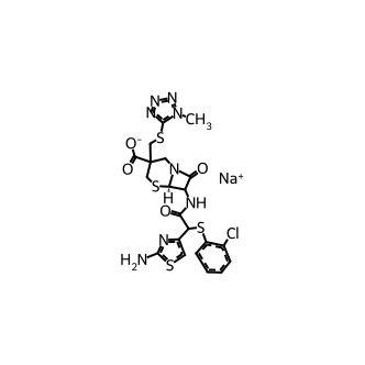 Cn1nnnc1SCC1(C(=O)[O-])CS[C@@H]2C(NC(=O)C(Sc3ccccc3Cl)c3csc(N)n3)C(=O)N2C1.[Na+]